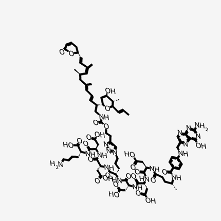 C/C=C/C1O[C@H](C(/C=C/C=C(\C)C[C@@H](C)/C=C(C)\C=C\[C@H]2CC=CC(=O)O2)CNC(=O)OCCc2cn(CCC[C@H](NC(=O)[C@@H](CC(=O)O)NC(=O)[C@@H](CC(=O)O)NC(=O)[C@@H](CC(=O)O)NC(=O)CC[C@@H](C)NC(=O)c3ccc(NCc4cnc5nc(N)nc(O)c5n4)cc3)C(=O)N[C@H](CC(=O)O)C(=O)N[C@H](CC(=O)O)C(=O)N[C@H](CCCCN)C(=O)O)nn2)C[C@@H](O)[C@@H]1C